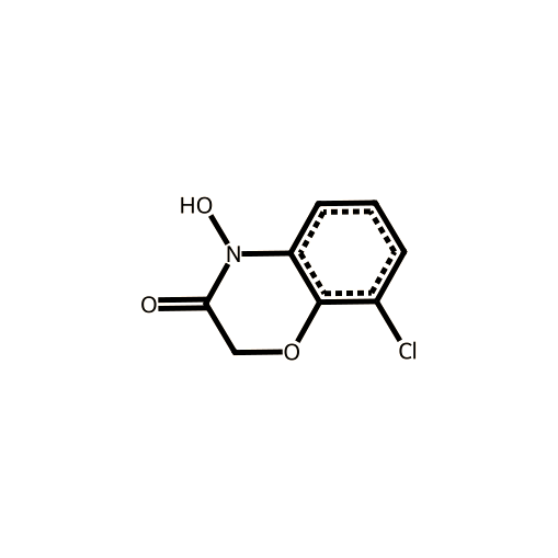 O=C1COc2c(Cl)cccc2N1O